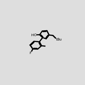 Cc1cc(F)ccc1-c1cc(CC(C)(C)C)ccc1O